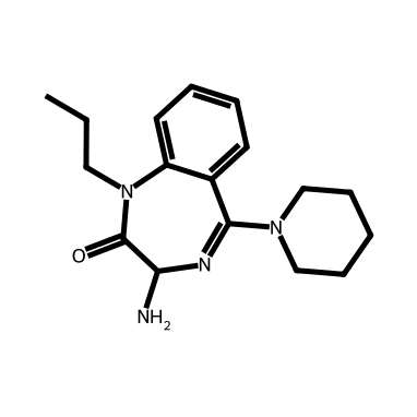 CCCN1C(=O)C(N)N=C(N2CCCCC2)c2ccccc21